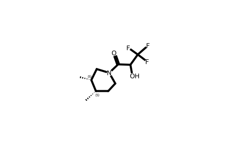 C[C@@H]1CN(C(=O)C(O)C(F)(F)F)CC[C@@H]1C